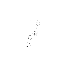 Fc1cccc(Oc2ccc(-n3cc(CNc4ccnc(C(F)(F)F)c4)nn3)cc2)c1